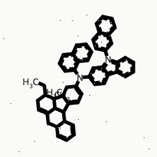 CCC1CC=C2CC3C=CC=CC3C3C4=CC=C(N(c5ccc6c7ccccc7n(-c7ccc8ccccc8c7)c6c5)c5cccc6ccccc56)C[C@@]4(C)C1(C)C23